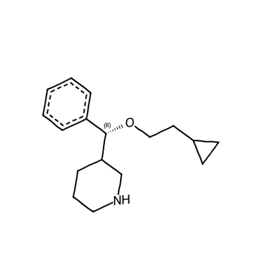 c1ccc([C@H](OCCC2CC2)C2CCCNC2)cc1